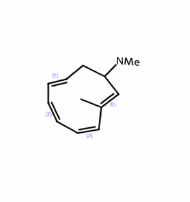 CNC1/C=C(C)/C=C\C=C/C=C/C1